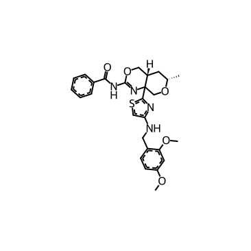 COc1ccc(CNc2csc(C34CO[C@@H](C)C[C@H]3COC(NC(=O)c3ccccc3)=N4)n2)c(OC)c1